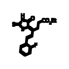 CCOC(=O)CCC(C=Cc1ccccc1F)=C1SC(=S)NC1=O